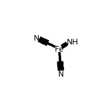 N#[C][Fe](=[NH])[C]#N